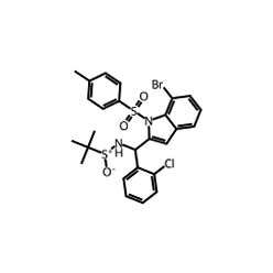 Cc1ccc(S(=O)(=O)n2c(C(N[S+]([O-])C(C)(C)C)c3ccccc3Cl)cc3cccc(Br)c32)cc1